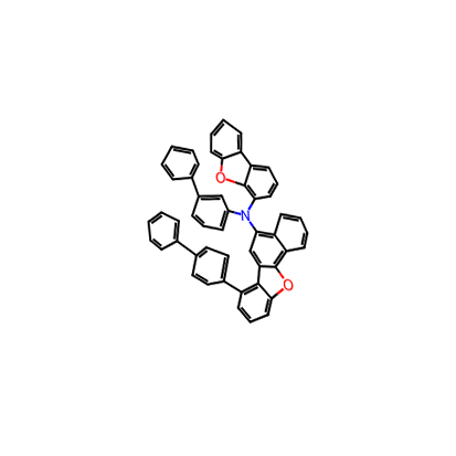 c1ccc(-c2ccc(-c3cccc4oc5c6ccccc6c(N(c6cccc(-c7ccccc7)c6)c6cccc7c6oc6ccccc67)cc5c34)cc2)cc1